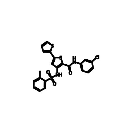 Cc1ccccc1S(=O)(=O)Nc1cc(-c2cccs2)sc1C(=O)Nc1cccc(Cl)c1